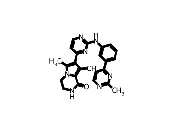 Cc1nccc(-c2cccc(Nc3nccc(-c4c(C)c5n(c4C)CCNC5=O)n3)c2)n1